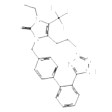 CCCc1c(C(F)(F)F)n(CC)c(=O)n1Cc1ccc(-c2ccccc2-c2nnn[nH]2)cc1